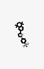 CC1(C)CCC(C)(C)c2cc(C3=NN(c4ccc(S(C)(=O)=O)cc4)CC3)ccc21